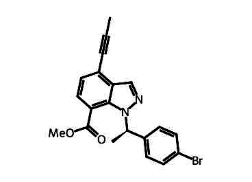 CC#Cc1ccc(C(=O)OC)c2c1cnn2[C@H](C)c1ccc(Br)cc1